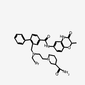 CC(C)CN(CCN1CCCC(C(N)=O)C1)Cc1cc(C(=O)Nc2ccc3c(c2)NC(=O)C(C)O3)ccc1-c1ccccc1